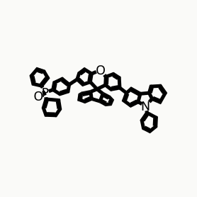 O=P(c1ccccc1)(c1ccccc1)c1ccc(-c2ccc3c(c2)C2(c4cc(-c5ccc6c(c5)c5ccccc5n6-c5ccccc5)ccc4O3)c3ccccc3-c3ccccc32)cc1